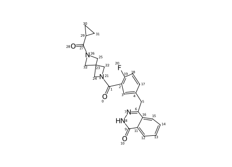 O=C(c1cc(Cc2n[nH]c(=O)c3ccccc23)ccc1F)N1CC2(C1)CN(C(=O)C1CC1)C2